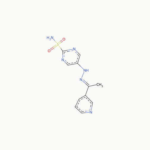 C/C(=N\Nc1cnc(S(N)(=O)=O)nc1)c1cccnc1